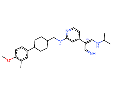 COc1ccc(C2CCC(CNc3cc(/C(C=N)=C/NC(C)C)ccn3)CC2)cc1C